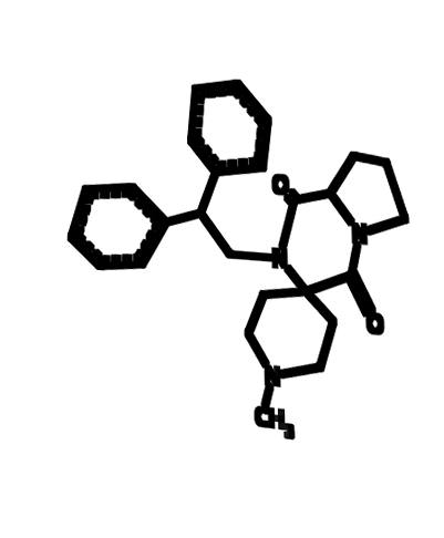 CN1CCC2(CC1)C(=O)N1CCCC1C(=O)N2CC(c1ccccc1)c1ccccc1